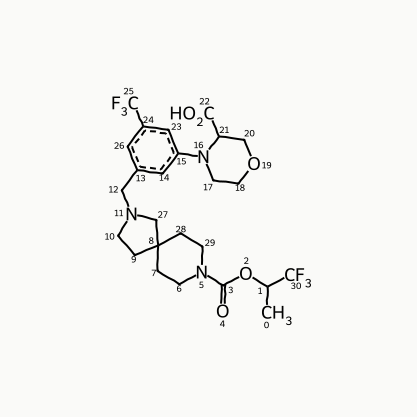 CC(OC(=O)N1CCC2(CCN(Cc3cc(N4CCOCC4C(=O)O)cc(C(F)(F)F)c3)C2)CC1)C(F)(F)F